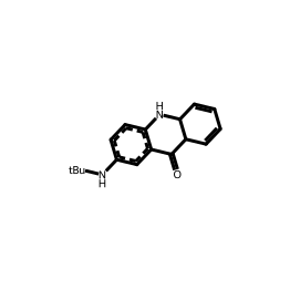 CC(C)(C)Nc1ccc2c(c1)C(=O)C1C=CC=CC1N2